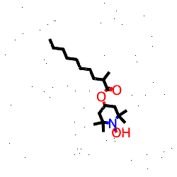 CCCCCCCCC(C)C(=O)OC1CC(C)(C)N(O)C(C)(C)C1